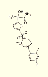 Cc1cc(F)ccc1N1CCN(S(=O)(=O)c2ccc(C(O)(C(N)=O)C(F)(F)F)s2)[C@H](C)C1